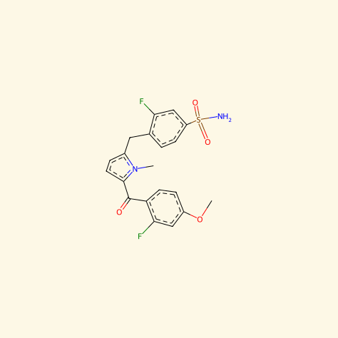 COc1ccc(C(=O)c2ccc(Cc3ccc(S(N)(=O)=O)cc3F)n2C)c(F)c1